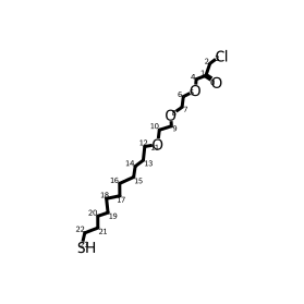 O=C(CCl)COCCOCCOCCCCCCCCCCCS